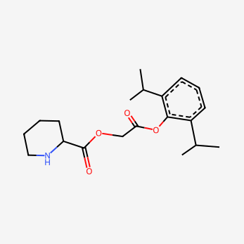 CC(C)c1cccc(C(C)C)c1OC(=O)COC(=O)C1CCCCN1